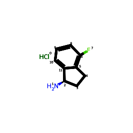 Cl.N[C@@H]1CCc2c(F)cccc21